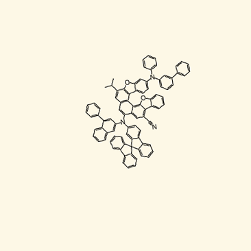 CC(C)c1cc2cc(N(c3ccc4c(c3)C3(c5ccccc5-c5ccccc53)c3ccccc3-4)c3cc(-c4ccccc4)c4ccccc4c3)c3cc(C#N)c4c5ccccc5oc4c3c2c2c1oc1cc(N(c3ccccc3)c3cccc(-c4ccccc4)c3)ccc12